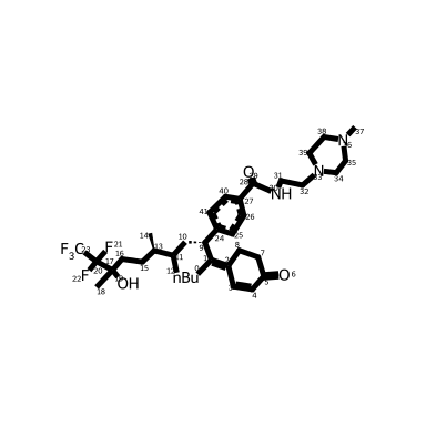 CCCC/C(=C1\C=CC(=O)CC1)[C@H](CC(C)[C@H](C)CCC(C)(O)C(F)(F)C(F)(F)F)c1ccc(C(=O)NCCN2CCN(C)CC2)cc1